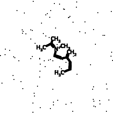 C=C(/C=C\C)/C=C\[N+](C)=C(C)C